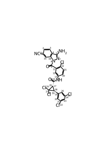 N#Cc1ccc2c(N)nn(C(=O)c3cc(NC(=O)[C@@H]4[C@@H](c5cc(Cl)cc(Cl)c5)C4(Cl)Cl)ccc3Cl)c2c1